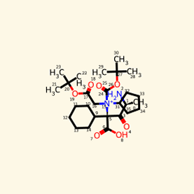 C[C@H](N)C(=O)[C@](C(=O)O)(C1CCCCC1)[N+](CC(=O)OC(C)(C)C)(C(=O)OC(C)(C)C)C1CCCC1